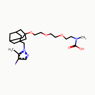 Cc1c(I)cnn1CC12CC3CC(C1)CC(OCCOCCOCCN(C)C(=O)O)(C3)C2